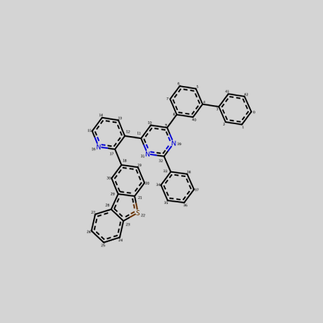 c1ccc(-c2cccc(-c3cc(-c4cccnc4-c4ccc5sc6ccccc6c5c4)nc(-c4ccccc4)n3)c2)cc1